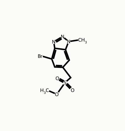 COS(=O)(=O)Cc1cc(Br)c2nnn(C)c2c1